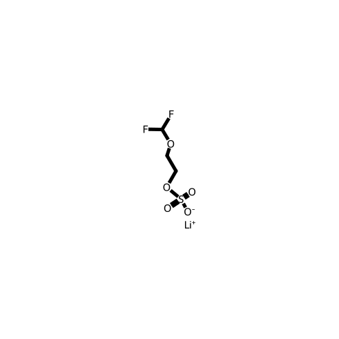 O=S(=O)([O-])OCCOC(F)F.[Li+]